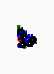 Nc1nn2cc(F)cnc2c1C(=O)Nc1cnccc1N1CCN2CCOCC2C1